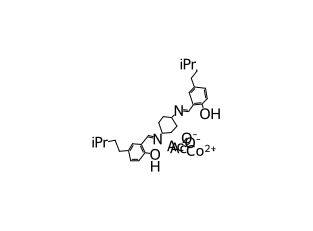 CC(=O)[O-].CC(=O)[O-].CC(C)CCc1ccc(O)c(C=NC2CCC(N=Cc3cc(CCC(C)C)ccc3O)CC2)c1.[Co+2]